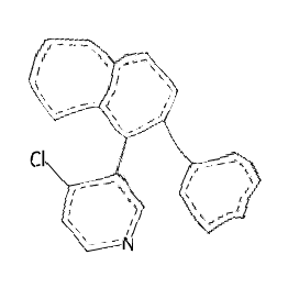 Clc1ccncc1-c1c(-c2ccccc2)ccc2ccccc12